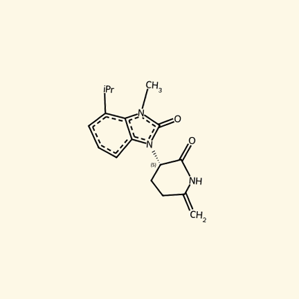 C=C1CC[C@H](n2c(=O)n(C)c3c(C(C)C)cccc32)C(=O)N1